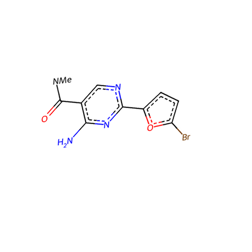 CNC(=O)c1cnc(-c2ccc(Br)o2)nc1N